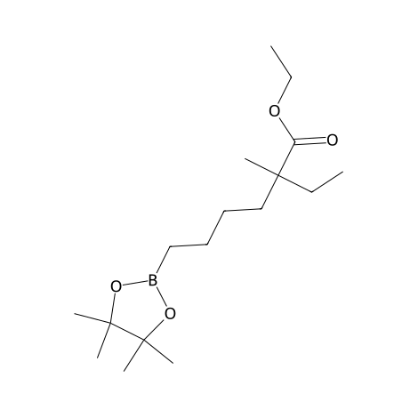 CCOC(=O)C(C)(CC)CCCCB1OC(C)(C)C(C)(C)O1